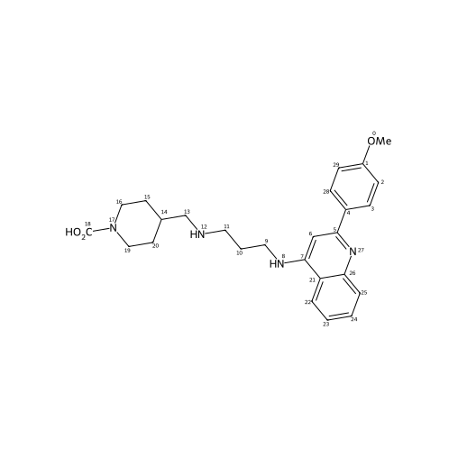 COc1ccc(-c2cc(NCCCNCC3CCN(C(=O)O)CC3)c3ccccc3n2)cc1